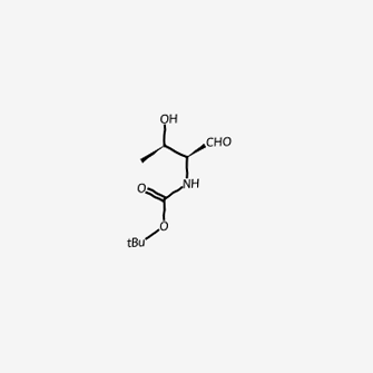 C[C@@H](O)[C@@H](C=O)NC(=O)OC(C)(C)C